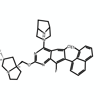 CCc1cccc2cccc(-c3c(Cl)cc4c(N5CC6CCC(C5)N6)nc(OC[C@@]56CCCN5C[C@H](F)C6)nc4c3F)c12